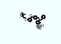 Cc1ncsc1CCOc1cccc(C(=O)c2ccc(CN(Cc3ccccc3)c3cccc(NS(C)(=O)=O)c3C)cc2)c1